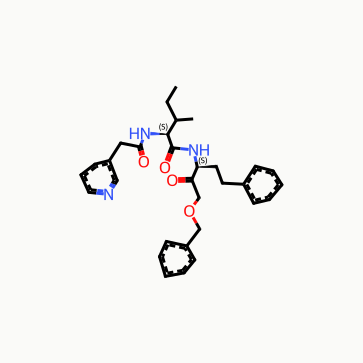 CCC(C)[C@H](NC(=O)Cc1cccnc1)C(=O)N[C@@H](CCc1ccccc1)C(=O)COCc1ccccc1